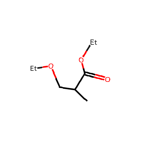 CCOCC(C)C(=O)OCC